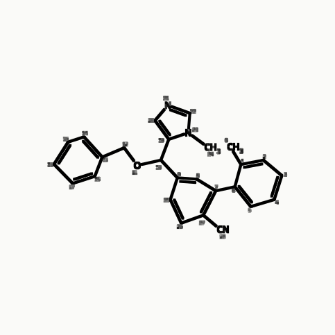 Cc1ccccc1-c1cc(C(OCc2ccccc2)c2cncn2C)ccc1C#N